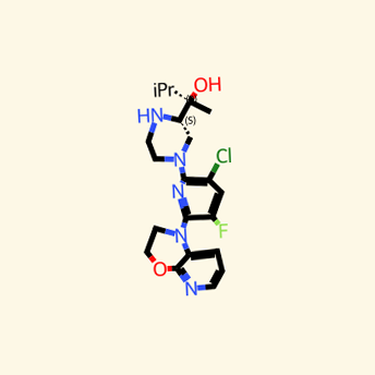 CC(C)[C@@](C)(O)[C@@H]1CN(c2nc(N3CCOc4ncccc43)c(F)cc2Cl)CCN1